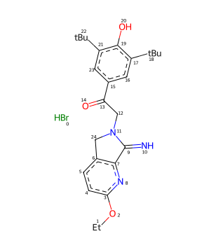 Br.CCOc1ccc2c(n1)C(=N)N(CC(=O)c1cc(C(C)(C)C)c(O)c(C(C)(C)C)c1)C2